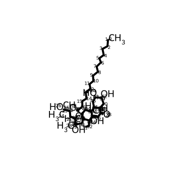 CCCCCCCCCCCCCCCCCC(=O)OC(CCC(C)(C)O)[C@](C)(O)[C@H]1CC[C@@]2(O)C3=CC(=O)[C@@H]4C[C@@H](O)[C@@H](O)C[C@]4(C)[C@H]3CC[C@]12C